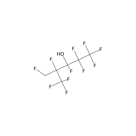 OC(F)(C(F)(F)C(F)(F)F)C(F)(CF)C(F)(F)F